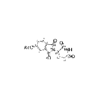 CC(=O)Oc1ccc2c(c1)C(=O)N(C1CCC(=O)NC1=O)C2=O